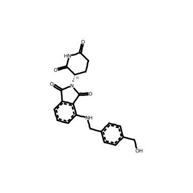 O=C1CC[C@H](N2C(=O)c3cccc(NCc4ccc(CO)cc4)c3C2=O)C(=O)N1